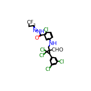 O=CC1(CNc2ccc(Cl)c(C(=O)N/N=C/CC(F)(F)F)c2)C(c2cc(Cl)cc(Cl)c2)C1(Cl)Cl